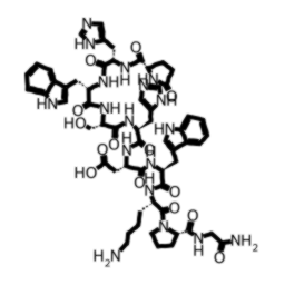 NCCCC[C@H](NC(=O)[C@H](Cc1c[nH]c2ccccc12)NC(=O)[C@H](CC(=O)O)NC(=O)[C@H](Cc1cnc[nH]1)NC(=O)[C@H](CO)NC(=O)[C@H](Cc1c[nH]c2ccccc12)NC(=O)[C@H](Cc1cnc[nH]1)NC(=O)[C@@H]1CCC(=O)N1)C(=O)N1CCC[C@H]1C(=O)NCC(N)=O